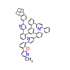 Cc1ccc2c(n1)oc1c(-c3ccc(-c4ccccc4-c4cc(-c5ccccc5-c5ccc(-c6ccccc6)nc5)cc(-c5ccccc5-c5ccc(-c6ccc7c(c6)C6CC8CC9CC7C986)nc5)c4)cn3)cccc12